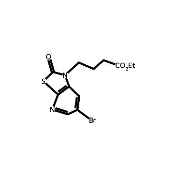 CCOC(=O)CCCn1c(=O)sc2ncc(Br)cc21